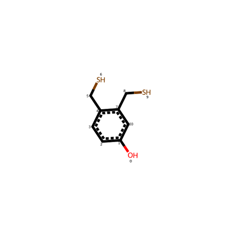 Oc1ccc(CS)c(CS)c1